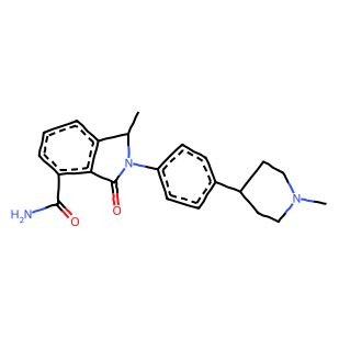 CC1c2cccc(C(N)=O)c2C(=O)N1c1ccc(C2CCN(C)CC2)cc1